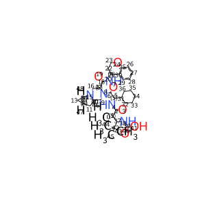 C[C@H](C(=O)N[C@H](C(=O)N1C[C@H]2C[C@H]3C[C@H]3N2C[C@H]1C(=O)N[C@@H]1CCOc2ccccc21)C1CCCCC1)C(NC(=O)O)C(C)(C)C